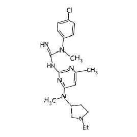 CCN1CCC(N(C)c2cc(C)nc(NC(=N)N(C)c3ccc(Cl)cc3)n2)C1